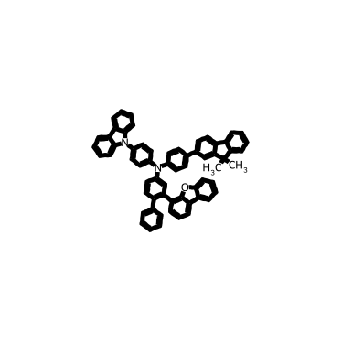 CC1(C)c2ccccc2-c2ccc(-c3ccc(N(c4ccc(-n5c6ccccc6c6ccccc65)cc4)c4ccc(-c5ccccc5)c(-c5cccc6c5oc5ccccc56)c4)cc3)cc21